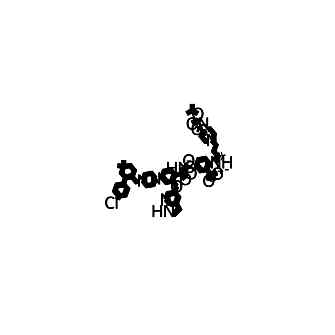 CC(C)OC(=O)N=S1(=O)CCN(CC[C@H](C)Nc2ccc(S(=O)(=O)NC(=O)c3ccc(N4CCN(CC5=C(c6ccc(Cl)cc6)CC(C)(C)CC5)CC4)cc3Oc3cnc4[nH]ccc4c3)cc2[N+](=O)[O-])CC1